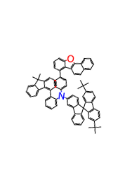 CC(C)(C)c1ccc2c(c1)C1(c3ccccc3-c3cc(N(c4ccc(-c5cccc6oc7c8ccccc8ccc7c56)cc4)c4ccccc4-c4cccc5c4-c4ccccc4C5(C)C)ccc31)c1cc(C(C)(C)C)ccc1-2